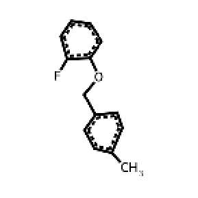 Cc1ccc(COc2ccccc2F)cc1